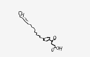 CCCCCCCCCCCCc1ccc(C(=O)/C=C/C(=O)O)cc1